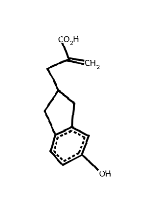 C=C(CC1Cc2ccc(O)cc2C1)C(=O)O